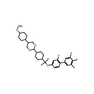 CCCCOC1CCC(C2COC(C3CCC(C(F)(F)Oc4ccc(-c5cc(F)c(F)c(F)c5)c(F)c4)CC3)OC2)CC1